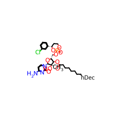 CCCCCCCCCCCCCCCCCC(=O)O[C@@H]1[C@@H](COP2(=O)OCC[C@@H](c3cccc(Cl)c3)O2)O[C@@H](n2ccc(N)nc2=O)[C@]1(C)O